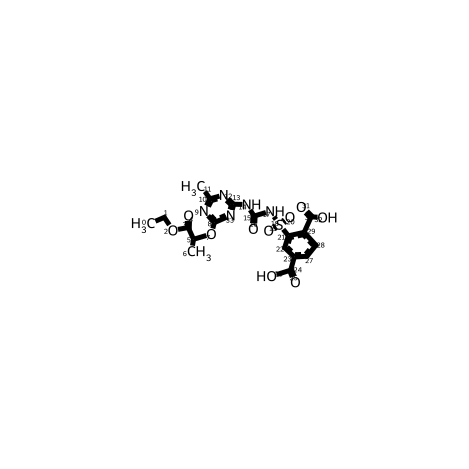 CCOC(=O)C(C)Oc1nc(C)nc(NC(=O)NS(=O)(=O)c2cc(C(=O)O)ccc2C(=O)O)n1